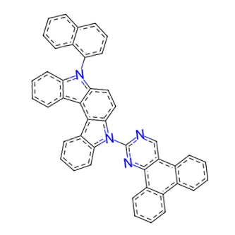 c1ccc2c(-n3c4ccccc4c4c5c6ccccc6n(-c6ncc7c8ccccc8c8ccccc8c7n6)c5ccc43)cccc2c1